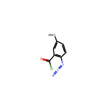 COc1ccc(N=[N+]=[N-])c(C(=O)Cl)c1